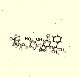 CC(c1ccccc1)N(C)c1nc(Cl)nc2c1nnn2[C@@H]1O[C@H](COP(=O)(O)CP(=O)(O)O)[C@@H](O)[C@H]1O